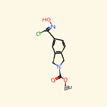 CC(C)(C)OC(=O)N1Cc2ccc(C(Cl)=NO)cc2C1